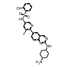 NC1CCC(Nc2ncc3cc(-c4ncc(NS(=O)(=O)c5ccccc5Cl)cc4F)ccc3n2)CC1